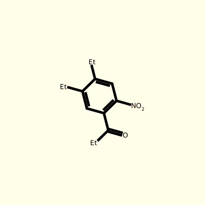 CCC(=O)c1cc(CC)c(CC)cc1[N+](=O)[O-]